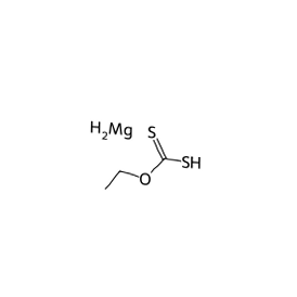 CCOC(=S)S.[MgH2]